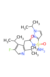 CC(C)c1ncc(F)c(C(C)C)c1CC(=O)N=S(N)(=O)c1ccn(C(C)C)n1